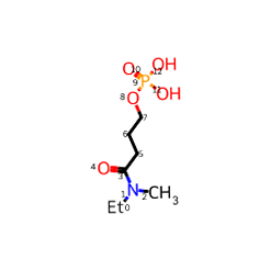 CCN(C)C(=O)CCCOP(=O)(O)O